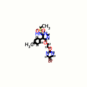 CCS(=O)(=O)Nc1ncnc(OCCOc2ncc(Br)cn2)c1-c1ccc(C)cc1